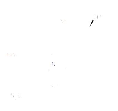 C=CC[N@@+]1(C)CC[C@@]23c4c5ccc(O)c4CC1C2C=C[C@H](C)C3O5